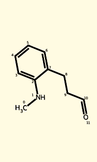 CNc1ccccc1CCC=O